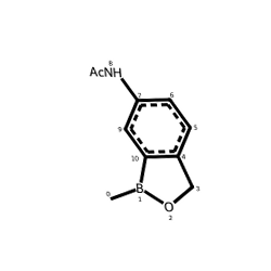 CB1OCc2ccc(NC(C)=O)cc21